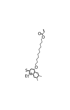 C=CC(=O)OCCCCCCCCCCCOc1cc(=S)n(CC)c2cc(C)c(C)cc12